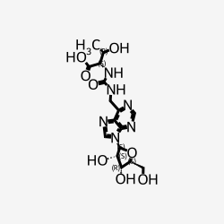 C[C@@H](O)[C@H](NC(=O)NCc1ncnc2c1ncn2[C@H]1O[C@@H](CO)[C@H](O)[C@@H]1O)C(=O)O